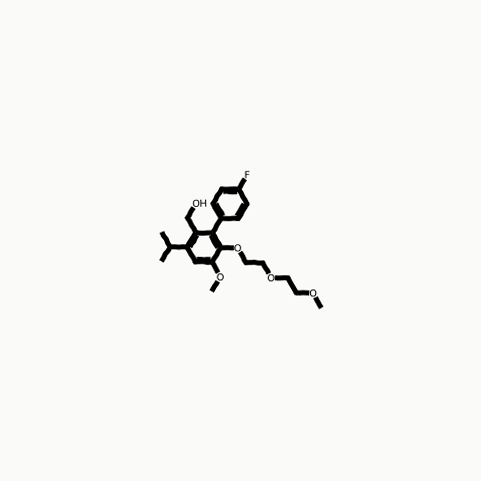 COCCOCCOc1c(OC)cc(C(C)C)c(CO)c1-c1ccc(F)cc1